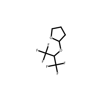 FC(F)(F)C(OC1CCCO1)C(F)(F)F